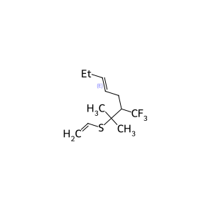 C=CSC(C)(C)C(C/C=C/CC)C(F)(F)F